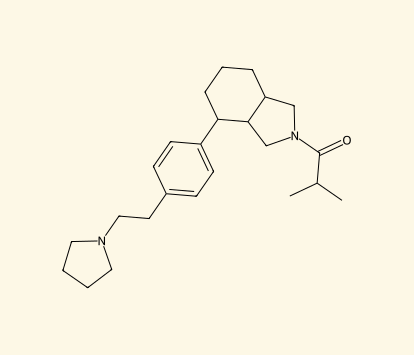 CC(C)C(=O)N1CC2CCCC(c3ccc(CCN4CCCC4)cc3)C2C1